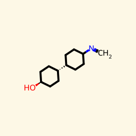 C=NC1CCC([C@H]2CC[C@H](O)CC2)CC1